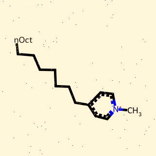 CCCCCCCCCCCCCCCc1cc[n+](C)cc1